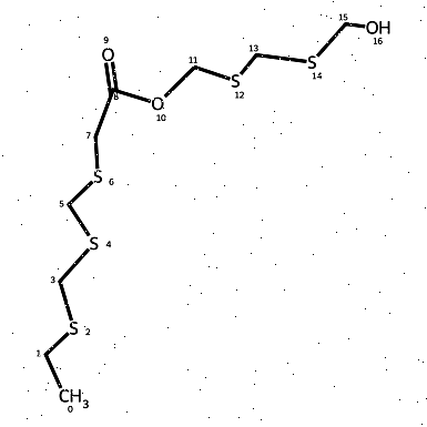 CCSCSCSCC(=O)OCSCSCO